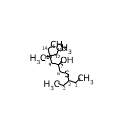 CCC(CC)SCC(O)CC(C)(CC)CC